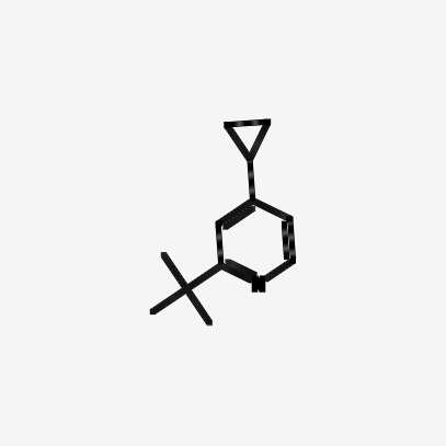 CC(C)(C)c1cc(C2CC2)ccn1